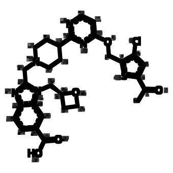 CC(=O)c1cc(Cl)c(COc2ccnc(C3CCN(Cc4nc5ccc(C(=O)O)cc5n4C[C@@H]4CCO4)CC3)n2)s1